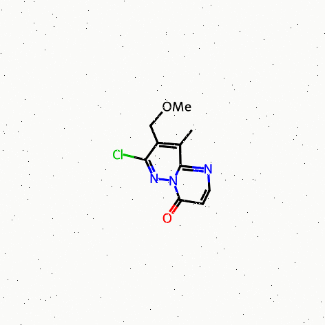 COCc1c(Cl)nn2c(=O)ccnc2c1C